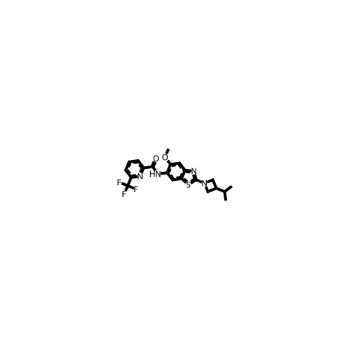 COc1cc2nc(N3CC(C(C)C)C3)sc2cc1NC(=O)c1cccc(C(F)(F)F)n1